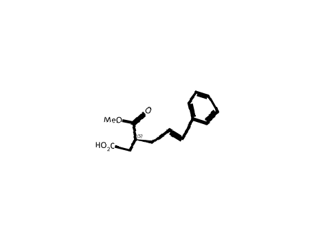 COC(=O)[C@@H](CC=Cc1ccccc1)CC(=O)O